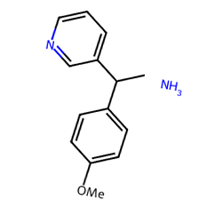 COc1ccc(C(C)c2cccnc2)cc1.N